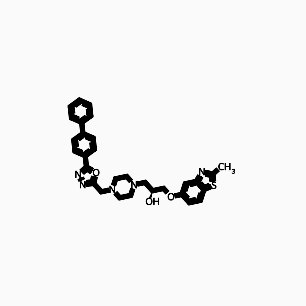 Cc1nc2cc(OC[C@H](O)CN3CCN(Cc4nnc(-c5ccc(-c6ccccc6)cc5)o4)CC3)ccc2s1